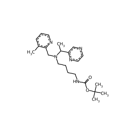 Cc1cccnc1CN(CCCCNC(=O)OC(C)(C)C)C(C)c1cnccn1